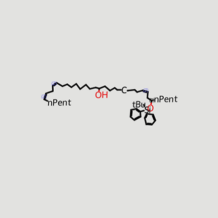 CCCCC/C=C\C/C=C\CCCCCCCCC(O)CCCCCCCC/C=C\C[C@@H](CCCCC)O[Si](c1ccccc1)(c1ccccc1)C(C)(C)C